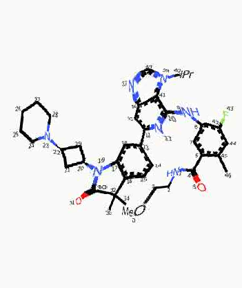 COCCNC(=O)c1cc(Nc2nc(-c3ccc4c(c3)N([C@H]3C[C@@H](N5CCCCC5)C3)C(=O)C4(C)C)cc3ncn(C(C)C)c23)c(F)cc1C